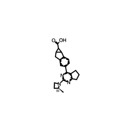 C[C@H]1CCN1c1nc2c(c(-c3ccc4c(c3)CC3C(C(=O)O)C43)n1)CCC2